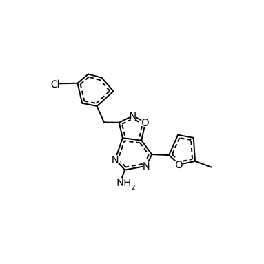 Cc1ccc(-c2nc(N)nc3c(Cc4cccc(Cl)c4)noc23)o1